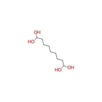 OC(O)CCCCCCCC(O)O